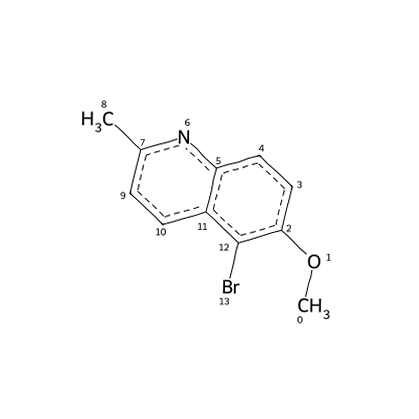 COc1ccc2nc(C)ccc2c1Br